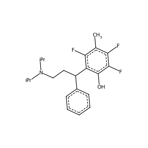 Cc1c(F)c(F)c(O)c(C(CCN(C(C)C)C(C)C)c2ccccc2)c1F